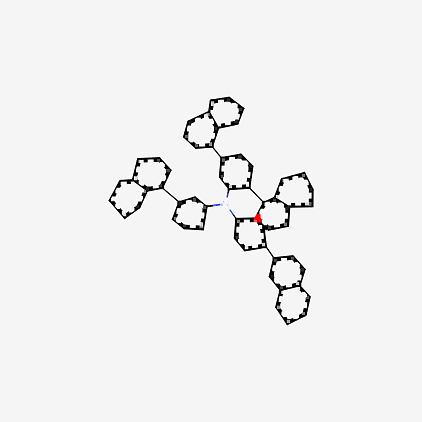 c1cc(-c2cccc3ccccc23)cc(N(c2ccc(-c3ccc4ccccc4c3)cc2)c2cc(-c3cccc4ccccc34)ccc2-c2cccc3ccccc23)c1